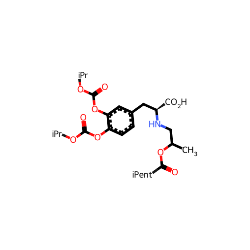 CCCC(C)C(=O)OC(C)CN[C@@H](Cc1ccc(OC(=O)OC(C)C)c(OC(=O)OC(C)C)c1)C(=O)O